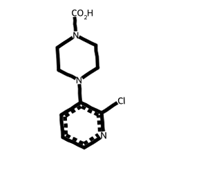 O=C(O)N1CCN(c2cccnc2Cl)CC1